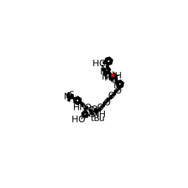 Cc1ncsc1-c1ccc(CNC(=O)[C@@H]2C[C@@H](O)CN2C(=O)C(NC(=O)COCCOCCOCCOc2cccc(N3C[C@H]4C[C@@H]3CN4c3cc(-c4ccccc4O)nnc3N)n2)C(C)(C)C)cc1